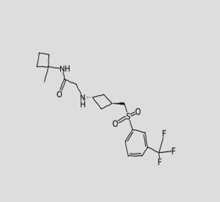 CC1(NC(=O)CN[C@H]2C[C@H](CS(=O)(=O)c3cccc(C(F)(F)F)c3)C2)CCC1